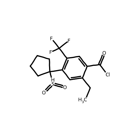 CCc1cc(C2([SH](=O)=O)CCCC2)c(C(F)(F)F)cc1C(=O)Cl